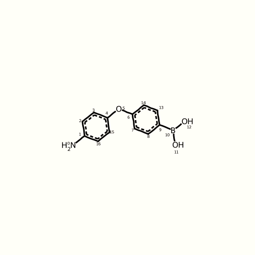 Nc1ccc(Oc2ccc(B(O)O)cc2)cc1